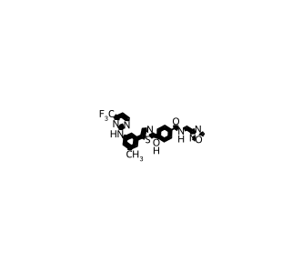 Cc1cc(Nc2nccc(C(F)(F)F)n2)cc(-c2cnc([C@]3(O)CC[C@@H](C(=O)NCc4ncon4)CC3)s2)c1